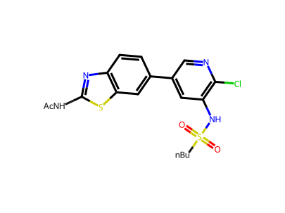 CCCCS(=O)(=O)Nc1cc(-c2ccc3nc(NC(C)=O)sc3c2)cnc1Cl